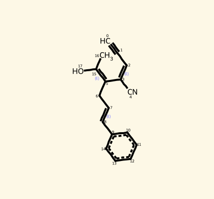 C#C/C=C(C#N)\C(C/C=C/c1ccccc1)=C(/C)O